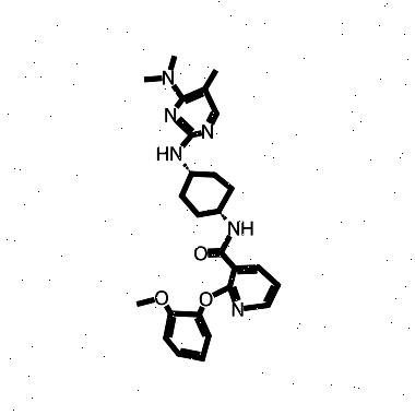 COc1ccccc1Oc1ncccc1C(=O)N[C@H]1CC[C@@H](Nc2ncc(C)c(N(C)C)n2)CC1